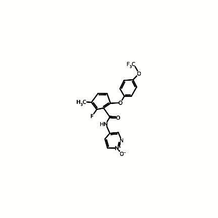 Cc1ccc(Oc2ccc(OC(F)(F)F)cc2)c(C(=O)Nc2cc[n+]([O-])nc2)c1F